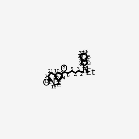 CCN(CCCCCC(=O)c1cc2c3c(c1)CCN3C(=O)CC2)C1Cc2ccccc2C1